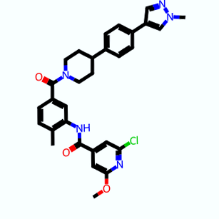 COc1cc(C(=O)Nc2cc(C(=O)N3CCC(c4ccc(-c5cnn(C)c5)cc4)CC3)ccc2C)cc(Cl)n1